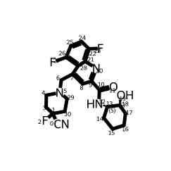 N#CC1(F)CCN(Cc2cc(C(=O)N[C@H]3CCCC[C@@H]3O)nc3c(F)ccc(F)c23)CC1